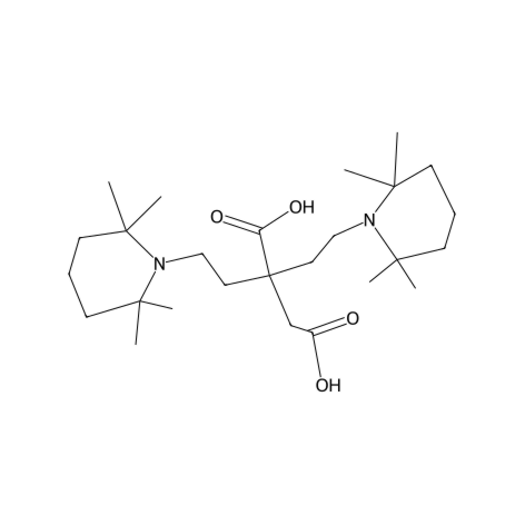 CC1(C)CCCC(C)(C)N1CCC(CCN1C(C)(C)CCCC1(C)C)(CC(=O)O)C(=O)O